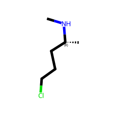 CN[C@H](C)CCCCl